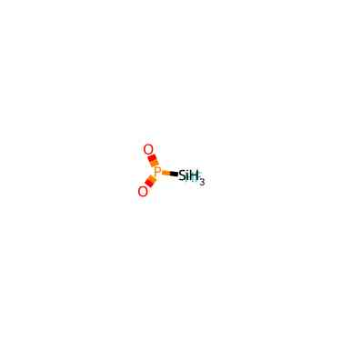 F.O=P(=O)[SiH3]